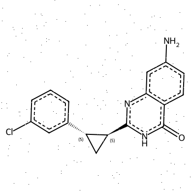 Nc1ccc2c(=O)[nH]c([C@H]3C[C@@H]3c3cccc(Cl)c3)nc2c1